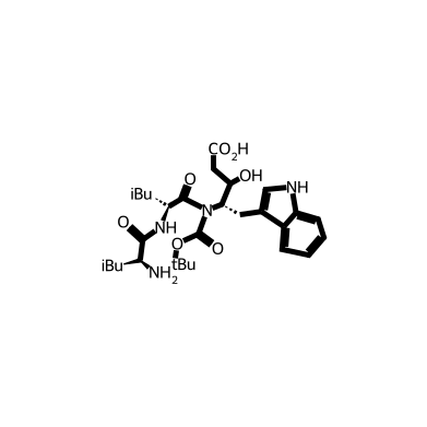 CC[C@H](C)[C@H](N)C(=O)N[C@H](C(=O)N(C(=O)OC(C)(C)C)[C@@H](Cc1c[nH]c2ccccc12)C(O)CC(=O)O)[C@@H](C)CC